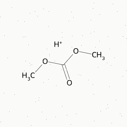 COC(=O)OC.[H+]